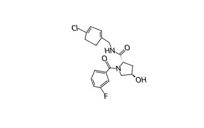 O=C(NCC1=CC=C(Cl)CC1)[C@@H]1C[C@@H](O)CN1C(=O)c1cccc(F)c1